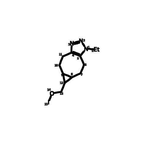 CCn1nnc2c1CCC1C(CC2)C1COI